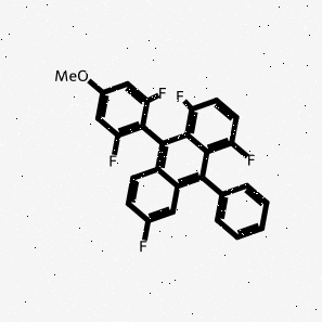 COc1cc(F)c(-c2c3ccc(F)cc3c(-c3ccccc3)c3c(F)ccc(F)c23)c(F)c1